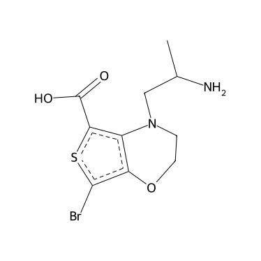 CC(N)CN1CCOc2c(Br)sc(C(=O)O)c21